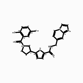 O=C(NCc1ccn2ccnc2c1)c1ccc(C2CCN(C(=O)c3cc(F)ccc3F)C2)s1